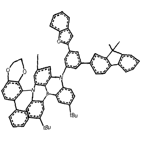 Cc1cc2c3c(c1)N(c1c(-c4ccccc4)ccc4c1OCCO4)c1ccc(C(C)(C)C)cc1B3c1cc(C(C)(C)C)ccc1N2c1cc(-c2ccc3c(c2)C(C)(C)c2ccccc2-3)cc(-c2cc3ccccc3o2)c1